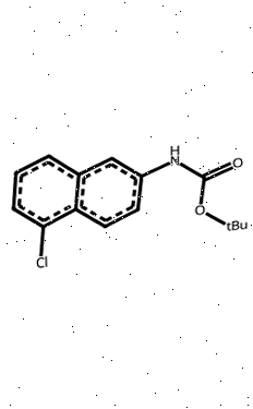 CC(C)(C)OC(=O)Nc1ccc2c(Cl)cccc2c1